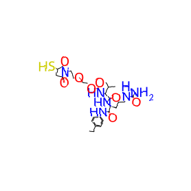 CCc1ccc(NC(=O)[C@H](CCCNC(N)=O)NC(=O)[C@@H](NC(=O)OCCOCCN2C(=O)CC(S)C2=O)C(C)C)cc1